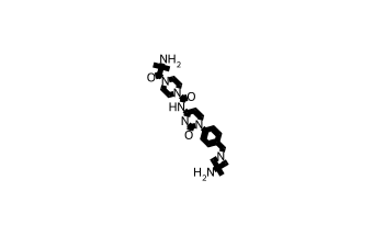 CC1(N)CN(Cc2ccc(-n3ccc(NC(=O)N4CCN(C(=O)C(C)(C)N)CC4)nc3=O)cc2)C1